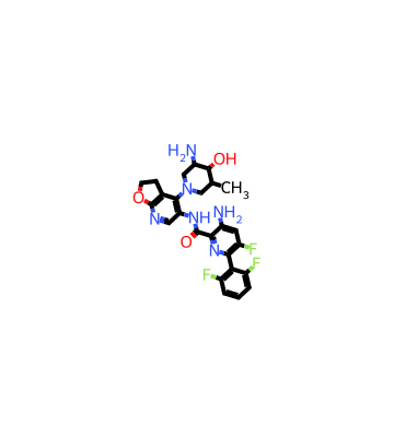 CC1CN(c2c(NC(=O)c3nc(-c4c(F)cccc4F)c(F)cc3N)cnc3c2CCO3)CC(N)C1O